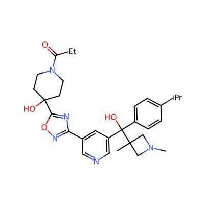 CCC(=O)N1CCC(O)(c2nc(-c3cncc(C(O)(c4ccc(C(C)C)cc4)C4(C)CN(C)C4)c3)no2)CC1